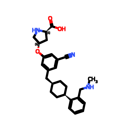 CNCc1ccccc1[C@H]1CC[C@H](Cc2cc(C#N)cc(O[C@@H]3CN[C@H](C(=O)O)C3)c2)CC1